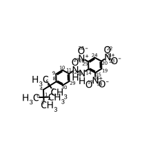 CC(C)(C)CC(C)(C)c1ccc(NNc2c([N+](=O)[O-])cc([N+](=O)[O-])cc2[N+](=O)[O-])cc1